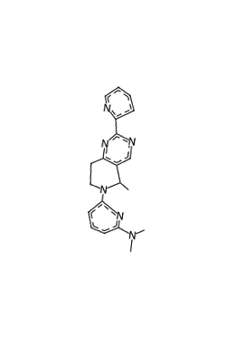 CC1c2cnc(-c3ccccn3)nc2CCN1c1cccc(N(C)C)n1